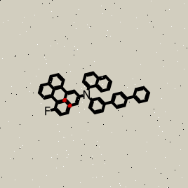 Fc1ccccc1-c1cccc2cccc(-c3cccc(N(c4cccc(-c5ccc(-c6ccccc6)cc5)c4)c4cccc5ccccc45)c3)c12